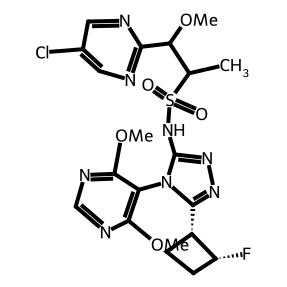 COc1ncnc(OC)c1-n1c(NS(=O)(=O)C(C)C(OC)c2ncc(Cl)cn2)nnc1[C@H]1CC[C@H]1F